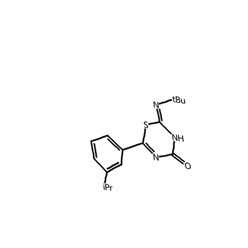 CC(C)c1cccc(-c2nc(=O)[nH]c(=NC(C)(C)C)s2)c1